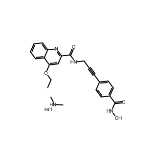 CCOc1cc(C(=O)NCC#Cc2ccc(C(=O)NO)cc2)nc2ccccc12.CNC.Cl